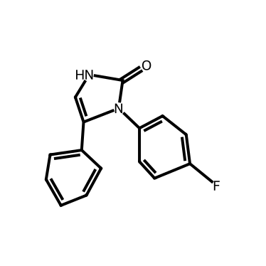 O=c1[nH]cc(-c2ccccc2)n1-c1ccc(F)cc1